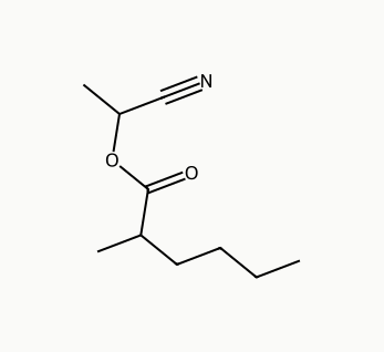 CCCCC(C)C(=O)OC(C)C#N